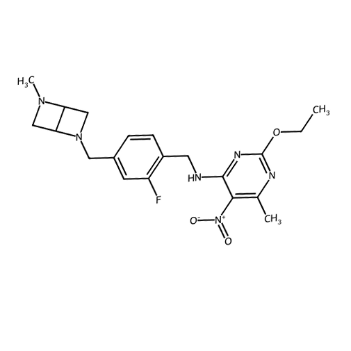 CCOc1nc(C)c([N+](=O)[O-])c(NCc2ccc(CN3CC4C3CN4C)cc2F)n1